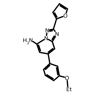 CCOc1cccc(-c2cc(N)n3nc(-c4ccco4)nc3c2)c1